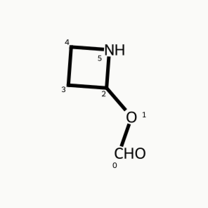 O=COC1CCN1